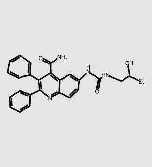 CCC(O)CNC(=O)Nc1ccc2nc(-c3ccccc3)c(-c3ccccc3)c(C(N)=O)c2c1